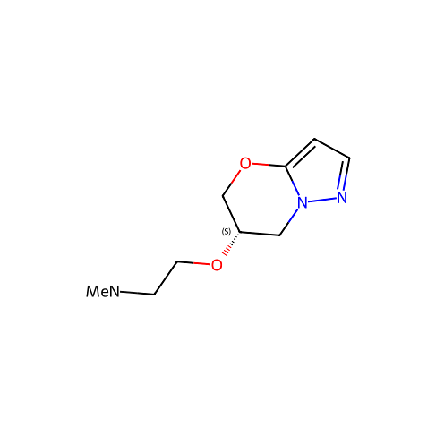 CNCCO[C@@H]1COc2ccnn2C1